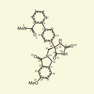 CNC(=O)c1cccnc1-c1ccc([C@]2(CN3Cc4ccc(OC)cc4C3=O)NC(=O)NC2=O)cc1